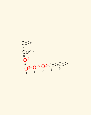 [Co+2].[Co+2].[Co+2].[Co+2].[O-2].[O-2].[O-2].[O-2]